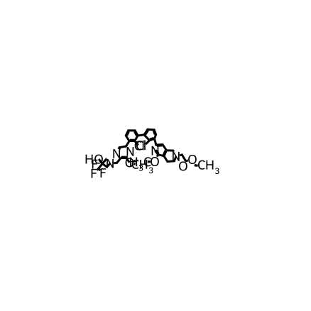 CCOC(=O)CN1CCc2c(cc(-c3cccc(-c4cccc(-c5cnc(CN6CC(O)(C(F)(F)F)C6)c(OC)n5)c4Cl)c3Cl)nc2OC)C1